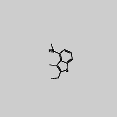 CCc1sc2cccc(NC)c2c1C